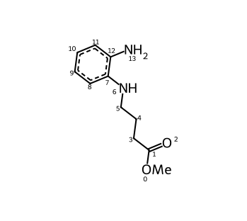 COC(=O)CCCNc1ccccc1N